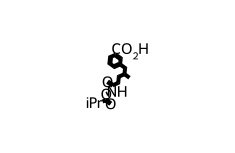 CC(CCC(=O)NOC(=O)C(C)C)Cc1cccc(C(=O)O)c1